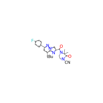 CC(C)(C)c1cc(-c2ccc(F)cc2)nn2cc(C(=O)N3CCN(C#N)C(=O)C3(C)C)nc12